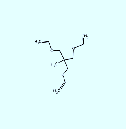 C=COCC(C)(COC=C)COC=C